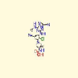 N#Cc1cc(Nc2nc(NC3CC3)c3ncc(C#N)n3n2)c(Cl)c(N2CC[C@H](NC(=O)O)[C@@H](F)C2)c1